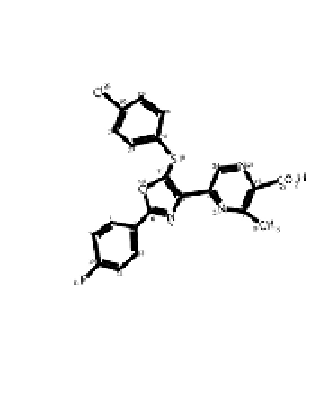 Cc1nc(-c2nc(-c3ccc(F)cc3)oc2Sc2ccc(Cl)cc2)cnc1C(=O)O